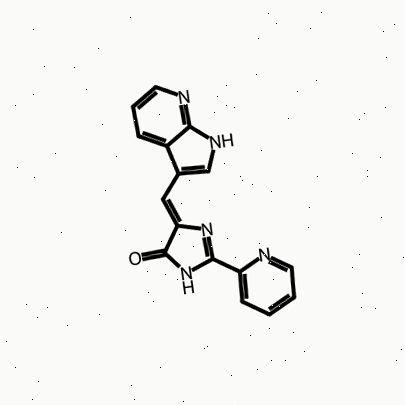 O=C1NC(c2ccccn2)=NC1=Cc1c[nH]c2ncccc12